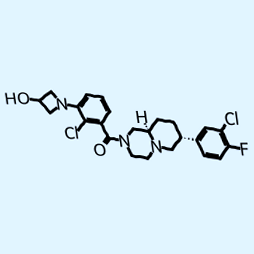 O=C(c1cccc(N2CC(O)C2)c1Cl)N1CCN2C[C@@H](c3ccc(F)c(Cl)c3)CC[C@@H]2C1